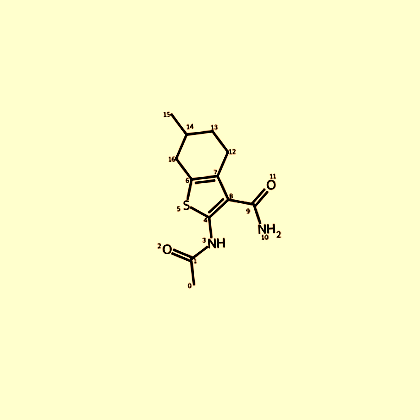 CC(=O)Nc1sc2c(c1C(N)=O)CCC(C)C2